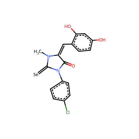 CN1C(=[Se])N(c2ccc(Cl)cc2)C(=O)C1=Cc1ccc(O)cc1O